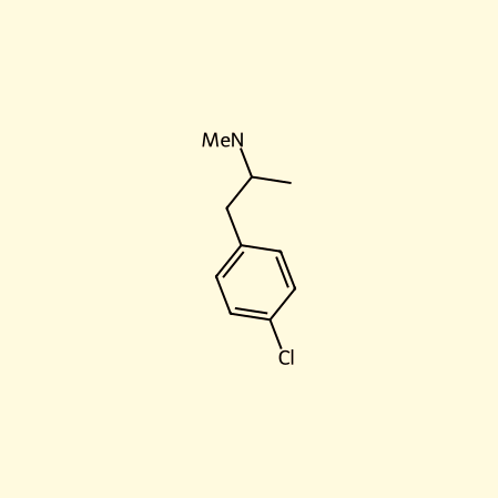 CNC(C)Cc1ccc(Cl)cc1